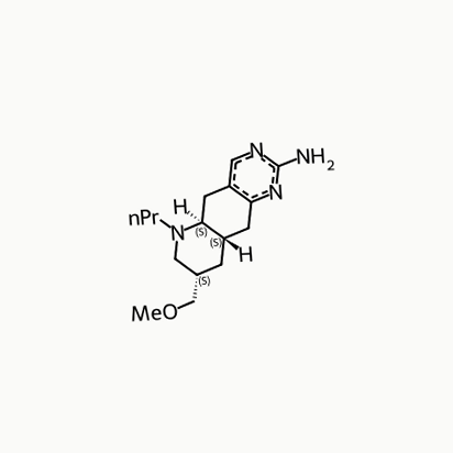 CCCN1C[C@@H](COC)C[C@H]2Cc3nc(N)ncc3C[C@@H]21